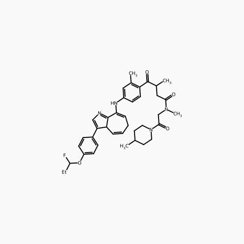 CCC(F)Oc1ccc(C2=CN=C3C(Nc4ccc(C(=O)C(C)CC(=O)N(C)CC(=O)N5CCC(C)CC5)c(C)c4)=CCC=CC23)cc1